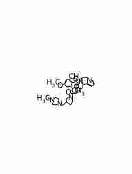 COc1cc(C)c(S(=O)(=O)N2CCn3cccc3C2COCC(=O)N2CCC(CN3CCN(C)CC3)C2)c(C)c1